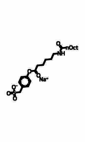 CCCCCCCCC(=O)NCCCCCC(=O)Oc1ccc(CS(=O)(=O)[O-])cc1.[Na+]